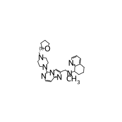 CN(Cc1cn2c(N3CCN(C[C@@H]4CCCO4)CC3)nccc2n1)C1CCCc2cccnc21